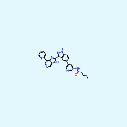 CCCCC(=O)Nc1cncc(-c2ccc3[nH]nc(-c4nc5c(-c6ccccn6)cncc5[nH]4)c3c2)c1